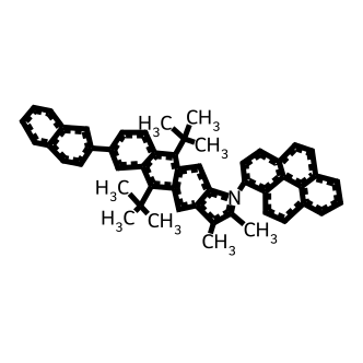 Cc1c(C)n(-c2ccc3ccc4cccc5ccc2c3c45)c2cc3c(C(C)(C)C)c4ccc(-c5ccc6ccccc6c5)cc4c(C(C)(C)C)c3cc12